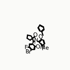 COc1cc(Br)c(F)cc1[C@@H]1N(c2cc(F)ccc2OCc2ccccc2)C(=O)C12CCCC2